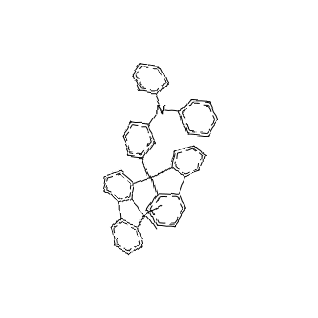 CC1(C)c2ccccc2-c2cccc(C3(c4cccc(N(c5ccccc5)c5ccccc5)c4)c4ccccc4-c4ccccc43)c21